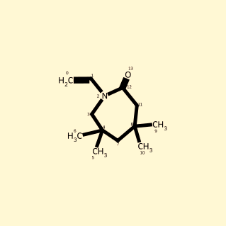 C=CN1CC(C)(C)CC(C)(C)CC1=O